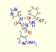 CN(C(=O)[C@@H]1[C@@H](Cc2ccnc(N)c2)C(=O)N1C(=O)NC(C1CCCCC1)C(F)(F)F)c1cncnc1